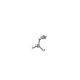 CB(C)CBr